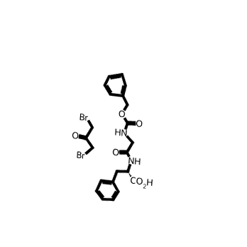 O=C(CBr)CBr.O=C(CNC(=O)OCc1ccccc1)N[C@@H](Cc1ccccc1)C(=O)O